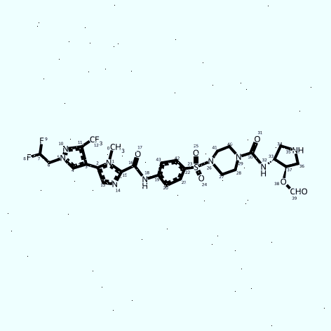 Cn1c(-c2cn(CC(F)F)nc2C(F)(F)F)cnc1C(=O)Nc1ccc(S(=O)(=O)N2CCN(C(=O)N[C@@H]3CNC[C@H]3OC=O)CC2)cc1